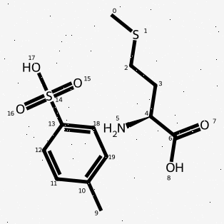 CSCC[C@H](N)C(=O)O.Cc1ccc(S(=O)(=O)O)cc1